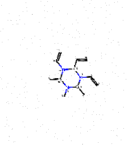 C=CB1N(C=C)B(C)N(C)B(C)N1C=C